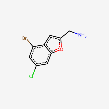 NCc1cc2c(Br)cc(Cl)cc2o1